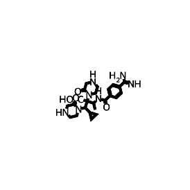 CC(NC(=O)c1ccc(C(=N)N)cc1)C(C(=O)O)(C(C1CC1)N1CCNCC1=O)N1CCNCC1=O